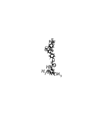 COc1cc(-c2ccc(OCC(=O)Nc3cc(C)nn3C)cc2)nn1-c1ccc(C(F)(F)F)cc1